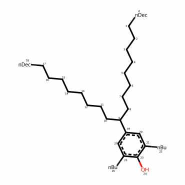 CCCCCCCCCCCCCCCCCC[C](CCCCCCCCCCCCCCCCCC)c1cc(CCCC)c(O)c(CCCC)c1